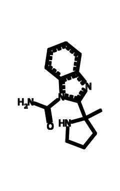 CC1(c2nc3ccccc3n2C(N)=O)CCCN1